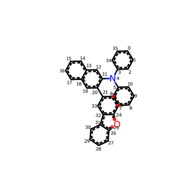 c1ccc(N(c2ccccc2)c2cc3ccccc3cc2-c2ccc3oc4ccccc4c3c2)cc1